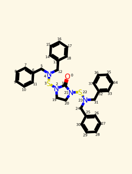 O=C1N(SN(Cc2ccccc2)Cc2ccccc2)CCN1SN(Cc1ccccc1)Cc1ccccc1